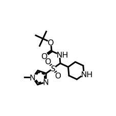 Cn1cnc(S(=O)(=O)C(NC(=O)OC(C)(C)C)C2CCNCC2)c1